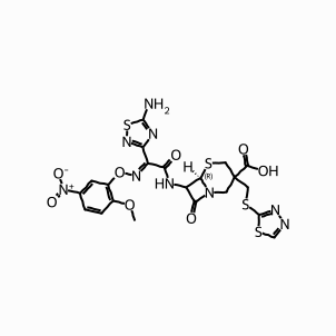 COc1ccc([N+](=O)[O-])cc1ON=C(C(=O)NC1C(=O)N2CC(CSc3nncs3)(C(=O)O)CS[C@H]12)c1nsc(N)n1